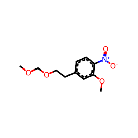 COCOCCc1ccc([N+](=O)[O-])c(OC)c1